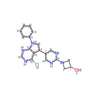 OC1CN(c2ncc(-c3cn(-c4ccccc4)c4ncnc(Cl)c34)cn2)C1